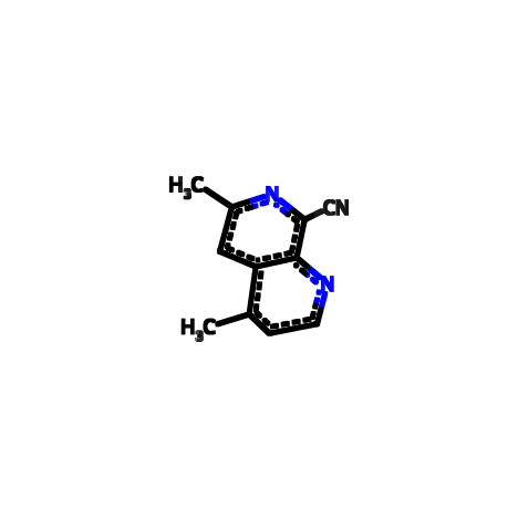 Cc1cc2c(C)ccnc2c(C#N)n1